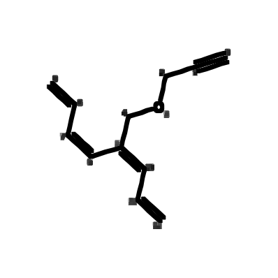 C#CCOCC(/C=C\C=C)=C/C=C